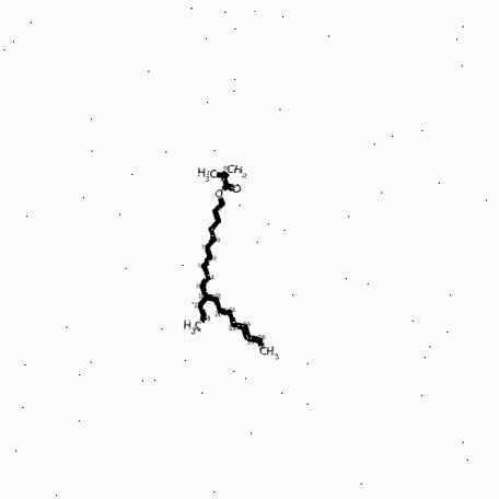 C=C(C)C(=O)OCCCCCCCCCCC(CCC)CCCCC=CCC